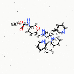 Cc1cccnc1[C@H]1CCC[C@@H](c2ncccc2C)N1CCNC[C@@H]1CC[C@@H](NC(=O)OC(C)(C)C)CO1